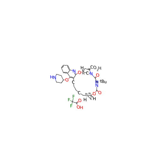 CC(C)(C)[C@@H]1NC(=O)O[C@@H]2C[C@H]2CCCCCc2c(nc3ccccc3c2OC2CCNCC2)O[C@@H]2C[C@@H](C(=O)O)N(C2)C1=O.O=C(O)C(F)(F)F